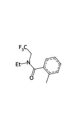 CCN(CC(F)(F)F)C(=O)c1ccccc1C